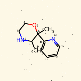 CC1NCCOC1(C)c1ccccn1